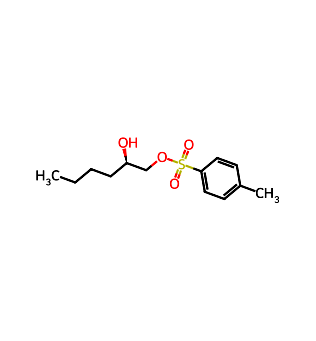 CCCC[C@@H](O)COS(=O)(=O)c1ccc(C)cc1